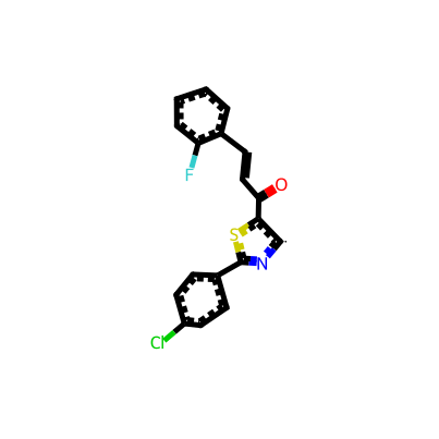 O=C(C=Cc1ccccc1F)c1[c]nc(-c2ccc(Cl)cc2)s1